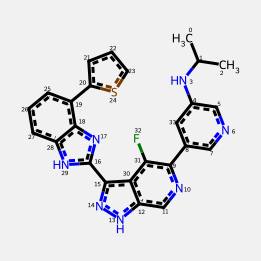 CC(C)Nc1cncc(-c2ncc3[nH]nc(-c4nc5c(-c6cccs6)cccc5[nH]4)c3c2F)c1